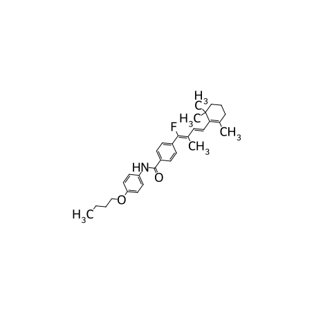 CCCCOc1ccc(NC(=O)c2ccc(/C(F)=C(C)/C=C/C3=C(C)CCCC3(C)C)cc2)cc1